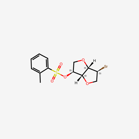 Cc1ccccc1S(=O)(=O)O[C@H]1CO[C@H]2[C@@H]1OC[C@@H]2Br